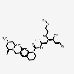 CC/C=C/C(C#N)=C(\C=C(/C)NC(=O)N1CCCc2cc(CN3CCN(C)CC3=O)c(C=O)nc21)NCCOC(C)(C)C